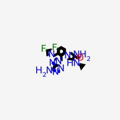 Nc1ncnc2c1ncn2Cc1c(N2CC[C@](N)(C(=O)NC3CC3)C2)ccc(F)c1CN1CC(F)C1